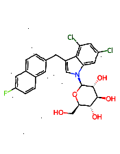 OC[C@H]1O[C@@H](n2cc(Cc3ccc4cc(F)ccc4c3)c3c(Cl)cc(Cl)cc32)[C@H](O)[C@@H](O)[C@@H]1O